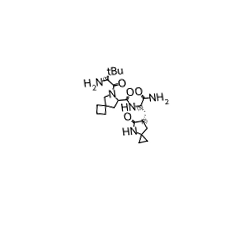 CC(C)(C)[C@H](N)C(=O)N1CC2(CCC2)CC1C(=O)N[C@@H](C[C@@H]1CC2(CC2)NC1=O)C(N)=O